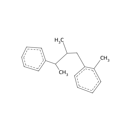 Cc1ccccc1CC(C)C(C)c1ccccc1